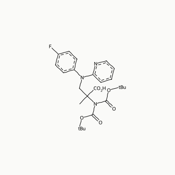 CC(C)(C)OC(=O)N(C(=O)OC(C)(C)C)C(C)(CN(c1ccc(F)cc1)c1ccccn1)C(=O)O